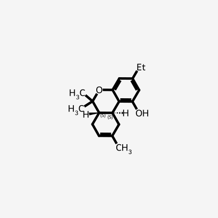 CCc1cc(O)c2c(c1)OC(C)(C)[C@H]1CC=C(C)C[C@H]21